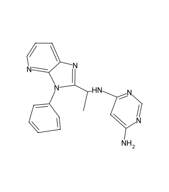 CC(Nc1cc(N)ncn1)c1nc2cccnc2n1-c1ccccc1